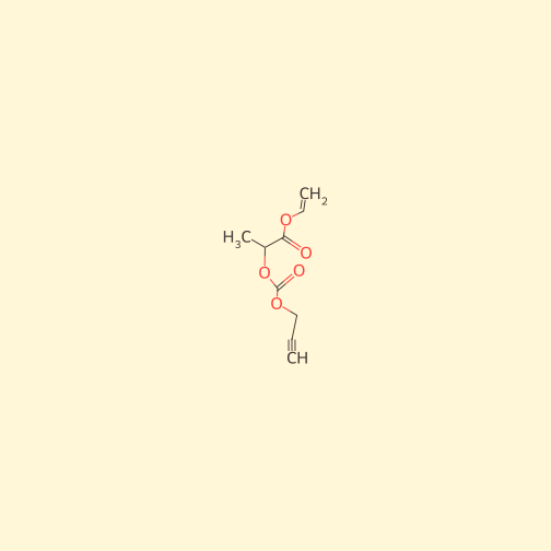 C#CCOC(=O)OC(C)C(=O)OC=C